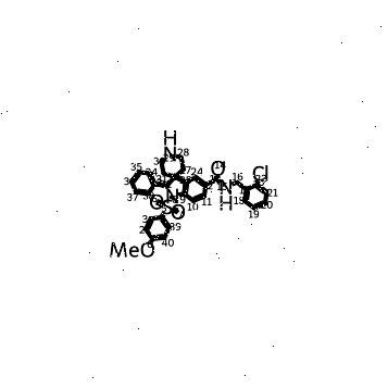 COc1ccc(S(=O)(=O)N2c3ccc(C(=O)NCc4ccccc4Cl)cc3C3(CCNCC3)C2c2ccccc2)cc1